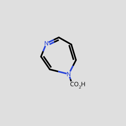 O=C(O)N1C=CC=NC=C1